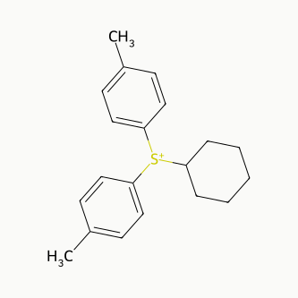 Cc1ccc([S+](c2ccc(C)cc2)C2CCCCC2)cc1